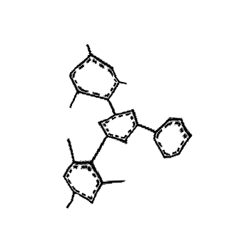 Cc1cc(C)c(-c2cc(-c3ccccc3)cc(-c3c(C)cc(C)cc3C)c2)c(C)c1